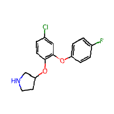 Fc1ccc(Oc2cc(Cl)ccc2OC2CCNC2)cc1